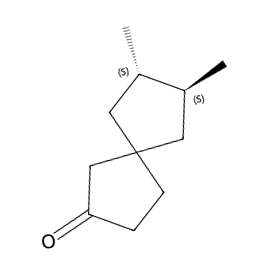 C[C@H]1CC2(CCC(=O)C2)C[C@@H]1C